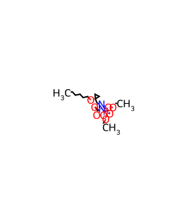 CCCCCCOC1(c2nn(P(=O)(OOCC)OOCC)c(=O)o2)CC1